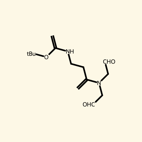 C=C(NCCC(=C)N(CC=O)CC=O)OC(C)(C)C